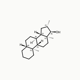 C[C@H]1C[C@H]2[C@@H]3CC[C@H]4CCCC[C@]4(C)[C@H]3CC[C@]2(C)[C@@H]1O